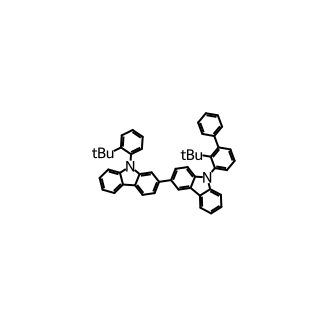 CC(C)(C)c1ccccc1-n1c2ccccc2c2ccc(-c3ccc4c(c3)c3ccccc3n4-c3cccc(-c4ccccc4)c3C(C)(C)C)cc21